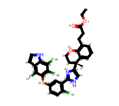 CCOC(=O)CCc1cccc2c1OCC[C@@]2(C)c1c[nH]c(-c2cc(Sc3c(F)c(F)c4[nH]ccc4c3F)ccc2F)n1